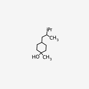 CC(C)C(C)CC1CCC(C)(O)CC1